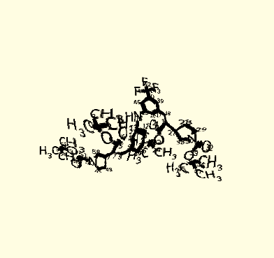 CC(C)(C)OC(=O)[C@@H](Cc1cccc(Nc2cc(C[C@H](C(=O)OC(C)(C)C)[C@H]3CCN(C(=O)OC(C)(C)C)C3)cc(C(F)(F)F)c2)c1)[C@H]1CCN(C(=O)OC(C)(C)C)C1